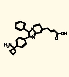 NC1(c2ccc(-c3nc4cc(C/C=C/C(=O)O)ccn4c3-c3ccccc3)cc2)CCC1